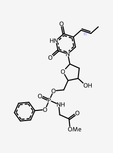 C/C=C/c1cn(C2CC(O)C(COP(=O)(NCC(=O)OC)Oc3ccccc3)O2)c(=O)[nH]c1=O